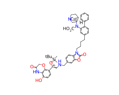 CC(C)(C)[Si](C)(C)O[C@@H](CNCc1ccc2c(c1)oc(=O)n2CCCCc1ccc(-c2ccccc2)c(N(C(=O)O)[C@H]2CN3CCC2CC3)c1)c1ccc(O)c2c1OCC(=O)N2